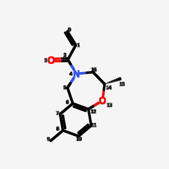 C=CC(=O)N1Cc2cc(C)ccc2O[C@@H](C)C1